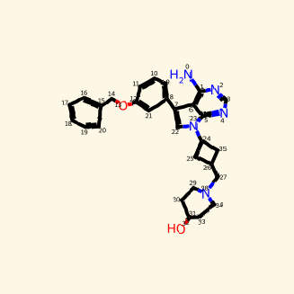 Nc1ncnc2c1c(-c1cccc(OCc3ccccc3)c1)cn2C1CC(CN2CCC(O)CC2)C1